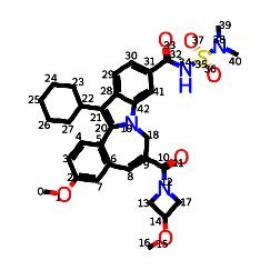 COc1ccc2c(c1)C=C(C(=O)N1CC(OC)C1)Cn1c-2c(C2CCCCC2)c2ccc(C(=O)NS(=O)(=O)N(C)C)cc21